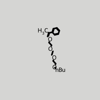 CCCCOCCOCCOCCO/C=C(/C)c1ccccc1